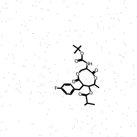 CC(C)C(=O)OC1C(C)OC(=O)C(NC(=O)OC(C)(C)C)COC(=O)C1Cc1ccc(F)cc1